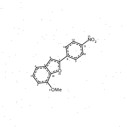 COc1cccc2cc(-c3ccc([N+](=O)[O-])cc3)oc12